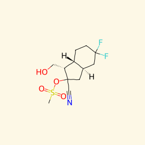 CS(=O)(=O)OC1(C#N)C[C@@H]2CC(F)(F)CC[C@H]2[C@H]1CO